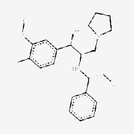 COc1cc([C@@H](O)[C@@H](CN2CCCC2)N[C@H](CO)c2ccccc2)ccc1F